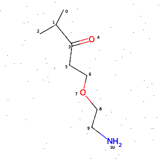 CC(C)C(=O)CCOCCN